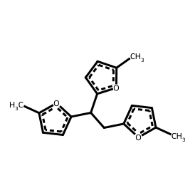 Cc1ccc(CC(c2ccc(C)o2)c2ccc(C)o2)o1